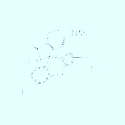 CNC1=CC2=C(CC1)C(=O)C(O)C21c2ccc(O)cc2Oc2cc(CO)ccc21